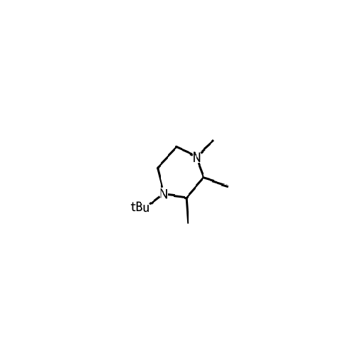 CC1C(C)N(C(C)(C)C)CCN1C